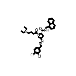 CCN(CC)CCCC(=O)N1CC(=NOCc2ccc(Cl)c(Cl)c2)C[C@H]1C(=O)NCc1cccc2ccccc12